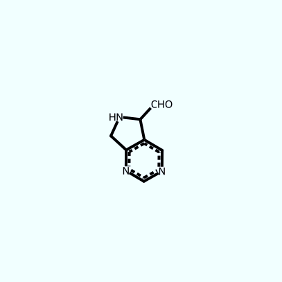 O=CC1NCc2ncncc21